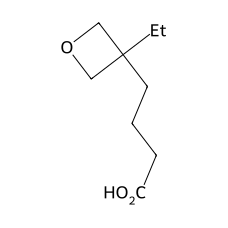 CCC1(CCCC(=O)O)COC1